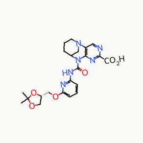 CC1(C)OC[C@@H](COc2cccc(NC(=O)N3c4nc(C(=O)O)ncc4N4CCCC3C4)n2)O1